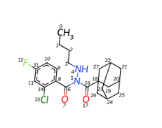 CCCCNN(C(=O)c1ccc(F)cc1Cl)C(=O)C12CC3CC(CC(C3)C1)C2